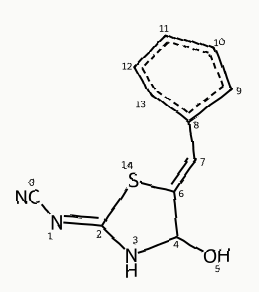 N#CN=C1NC(O)C(=Cc2ccccc2)S1